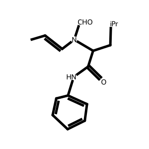 CC=CN(C=O)C(CC(C)C)C(=O)Nc1ccccc1